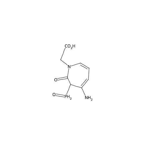 NC1=CC=CN(CC(=O)O)C(=O)C1[PH2]=O